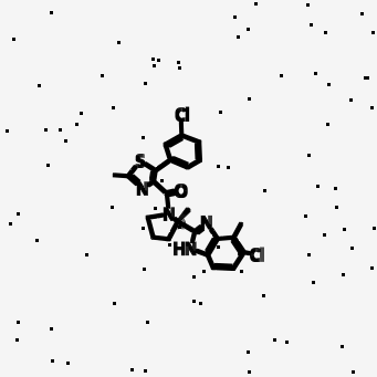 Cc1nc(C(=O)N2CCC[C@@]2(C)c2nc3c(C)c(Cl)ccc3[nH]2)c(-c2cccc(Cl)c2)s1